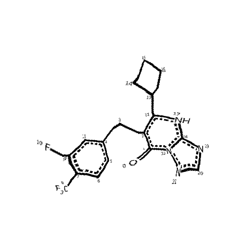 O=c1c(Cc2ccc(C(F)(F)F)c(F)c2)c(C2CCC2)[nH]c2ncnn12